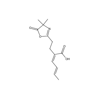 CC=CC=C(CCC1=NC(C)(C)C(=O)O1)C(=O)O